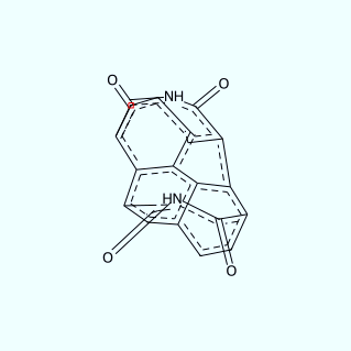 O=c1[nH]c(=O)c2cc3ccc1c1c4cc5ccc(c(=O)[nH]c4=O)c2c5c31